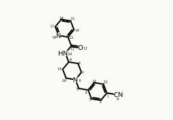 N#Cc1ccc(CN2CCC(NC(=O)c3ccccn3)CC2)cc1